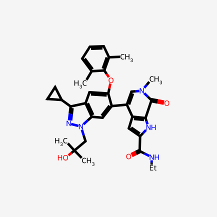 CCNC(=O)c1cc2c(-c3cc4c(cc3Oc3c(C)cccc3C)c(C3CC3)nn4CC(C)(C)O)cn(C)c(=O)c2[nH]1